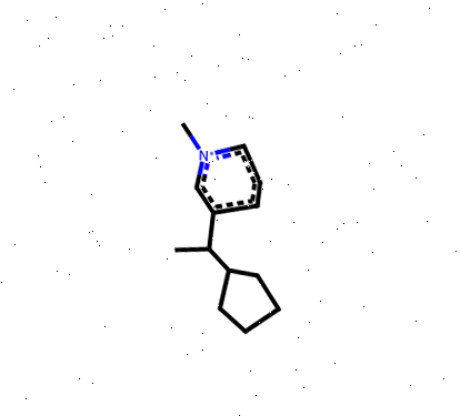 CC(c1ccc[n+](C)c1)C1CCCC1